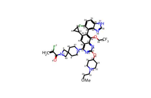 C=C(F)C(=O)N1CC2(CCN(c3nc(OC4CCN(CCOC)CC4)nc4c(OCC(F)(F)F)c(-c5c(F)ccc6[nH]cnc56)c(C5CC5)cc34)CC2)C1